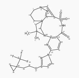 CC1(C)CC23CCCn4cc(c2n4)S(=O)(=O)NC(=O)c2ccc(-n4ccc(OCCC5(C(F)(F)F)CC5)n4)nc2N1C3